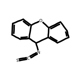 S=C=NC1c2ccccc2Oc2ccccc21